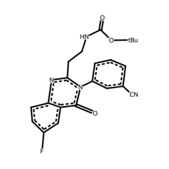 CC(C)(C)OC(=O)NCCc1nc2ccc(F)cc2c(=O)n1-c1cccc(C#N)c1